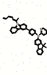 C=C/C=C\C=C(/C)n1c2ccccc2c2cc(-c3ccc(N(c4ccc5c(c4)C(C)(C)c4ccccc4-5)c4ccccn4)cc3)ccc21